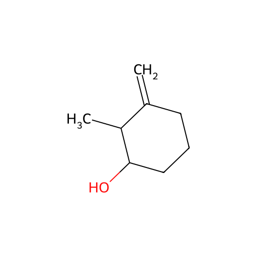 C=C1CCCC(O)C1C